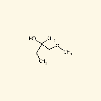 CCC(C)(O)COC